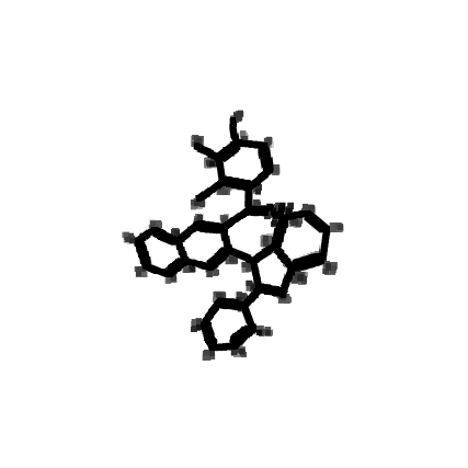 Cc1ccc(C(=N)c2cc3ccccc3cc2C2C(c3ccccc3)=Cc3ccccc32)c(C)c1C